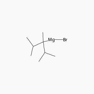 CC(C)[C](C)([Mg][Br])C(C)C